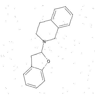 [C]1c2ccccc2CCN1C1Cc2ccccc2O1